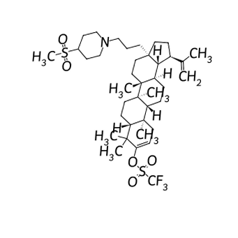 C=C(C)[C@@H]1CC[C@]2(CCCN3CCC(S(C)(=O)=O)CC3)CC[C@]3(C)[C@H](CC[C@@H]4[C@@]5(C)CC=C(OS(=O)(=O)C(F)(F)F)C(C)(C)[C@@H]5CC[C@]43C)[C@@H]12